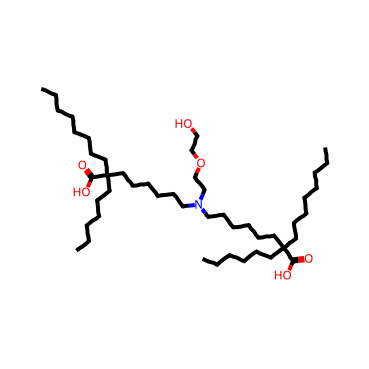 CCCCCCCCC(CCCCCC)(CCCCCCN(CCCCCCC(CCCCCC)(CCCCCCCC)C(=O)O)CCOCCO)C(=O)O